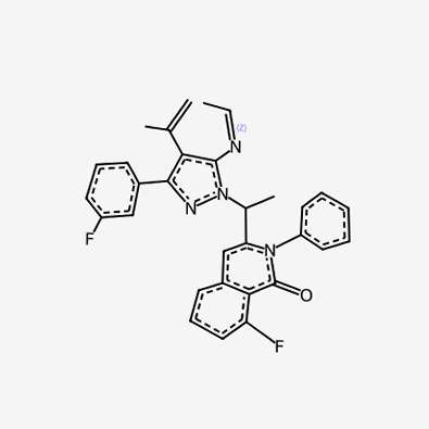 C=C(C)c1c(-c2cccc(F)c2)nn(C(C)c2cc3cccc(F)c3c(=O)n2-c2ccccc2)c1/N=C\C